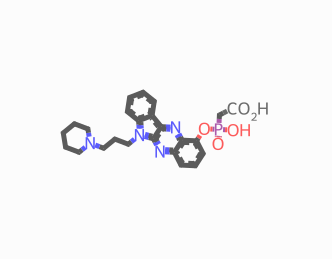 O=C(O)CP(=O)(O)Oc1cccc2nc3c(nc12)c1ccccc1n3CCCN1CCCCC1